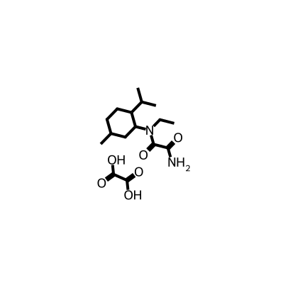 CCN(C(=O)C(N)=O)C1CC(C)CCC1C(C)C.O=C(O)C(=O)O